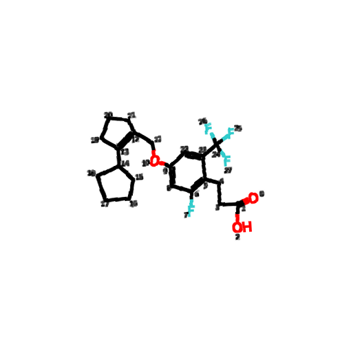 O=C(O)CCc1c(F)cc(OCC2=C(C3CCCC3)CCC2)cc1C(F)(F)F